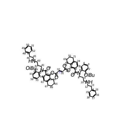 CC(C)COc1ccccc1N(CCCNCCc1ccccc1)C(=O)c1ccc2c(c1OC(=O)/C=C/C(=O)Oc1c(C(=O)N(CCCNCCc3ccccc3)c3ccccc3OCC(C)C)ccc3c1CCCC3)CCCC2